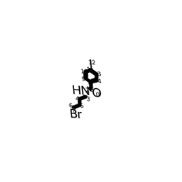 O=C(NCCCCBr)c1ccc(I)cc1